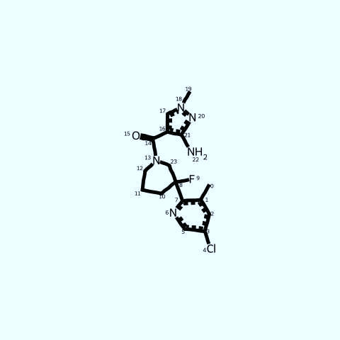 Cc1cc(Cl)cnc1C1(F)CCCN(C(=O)c2cn(C)nc2N)C1